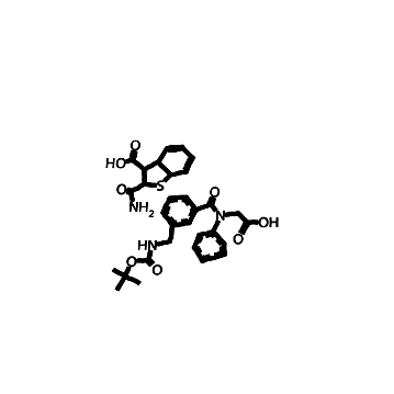 CC(C)(C)OC(=O)NCc1cccc(C(=O)N(CC(=O)O)c2ccccc2)c1.NC(=O)C1SC2C=CC=CC2C1C(=O)O